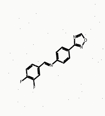 Fc1ccc(C=Nc2ccc(-c3ncon3)cc2)cc1F